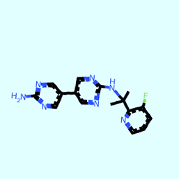 CC(C)(Nc1ncc(-c2cnc(N)nc2)cn1)c1ncccc1F